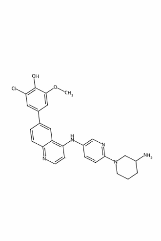 COc1cc(-c2ccc3nc[c]c(Nc4ccc(N5CCCC(N)C5)nc4)c3c2)cc(Cl)c1O